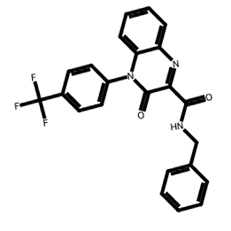 O=C(NCc1ccccc1)c1nc2ccccc2n(-c2ccc(C(F)(F)F)cc2)c1=O